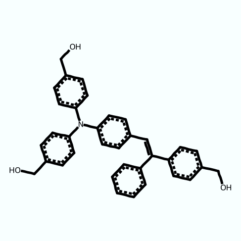 OCc1ccc(C(=Cc2ccc(N(c3ccc(CO)cc3)c3ccc(CO)cc3)cc2)c2ccccc2)cc1